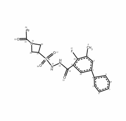 Cc1cc(-c2ccccc2)cc(C(=O)NNS(=O)(=O)C2CN(C(=O)C(C)C)C2)c1F